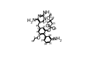 CCOc1cc(Cc2cnc(N)nc2N)cc(OS(=O)(=O)CC(C)(C)OC)c1-c1cccc(N)c1